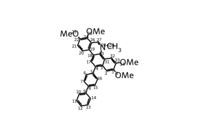 COc1cc2c(-c3ccc(-c4ccccc4)cc3)cc3c4ccc(OC)c(OC)c4c[n+](C)c3c2cc1OC